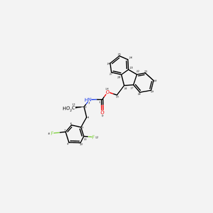 O=C(N[C@@H](Cc1cc(F)ccc1F)C(=O)O)OCC1c2ccccc2-c2ccccc21